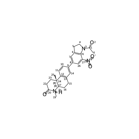 CC(=O)N1CCc2cc(-c3ccc4c(c3)CC[C@H]3N(C)C(=O)CC[C@]43C)cc([N+](=O)[O-])c21